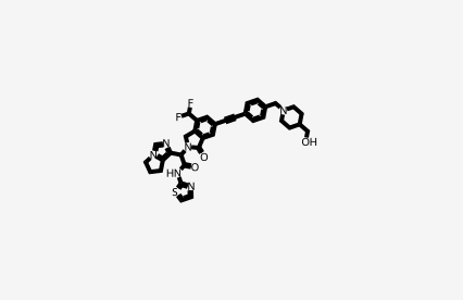 O=C(Nc1nccs1)C(c1ncn2c1CCC2)N1Cc2c(cc(C#Cc3ccc(CN4CCC(CO)CC4)cc3)cc2C(F)F)C1=O